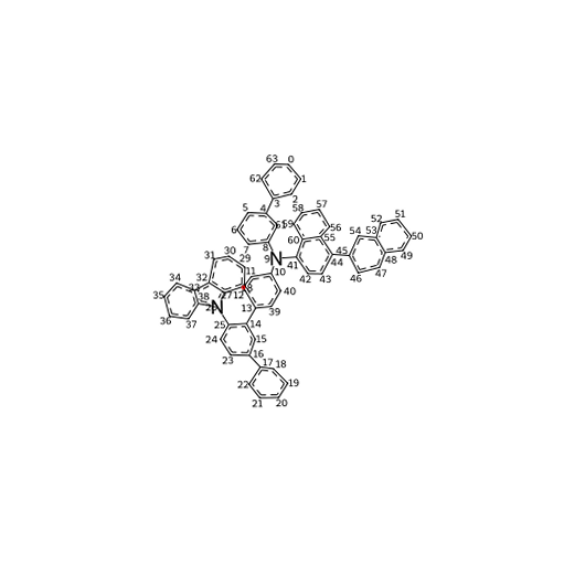 c1ccc(-c2cccc(N(c3ccc(-c4cc(-c5ccccc5)ccc4-n4c5ccccc5c5ccccc54)cc3)c3ccc(-c4ccc5ccccc5c4)c4ccccc34)c2)cc1